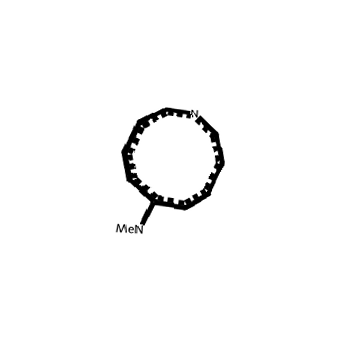 CNc1ccccncccc1